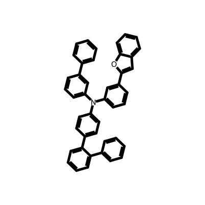 c1ccc(-c2cccc(N(c3ccc(-c4ccccc4-c4ccccc4)cc3)c3cccc(-c4cc5ccccc5o4)c3)c2)cc1